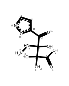 CC(O)(C(=O)O)C(O)(NN)C(=O)c1ccno1